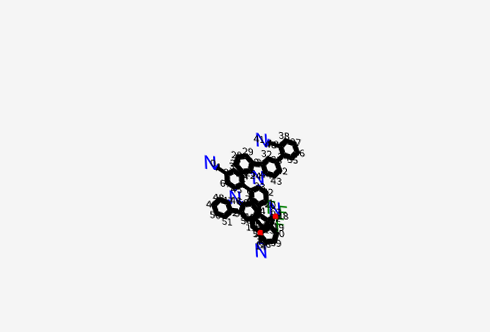 N#Cc1ccc(-c2cc(-c3ccc(C#N)cc3C(F)(F)F)ccc2-n2c3ccccc3c3cc(-c4ccccc4C#N)ccc32)c(-n2c3ccccc3c3cc(-c4ccccc4C#N)ccc32)c1